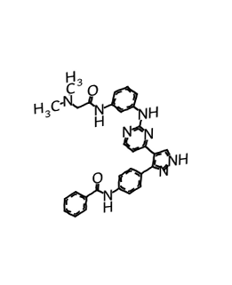 CN(C)CC(=O)Nc1cccc(Nc2nccc(-c3c[nH]nc3-c3ccc(NC(=O)c4ccccc4)cc3)n2)c1